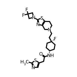 Cc1ncc(CC(=O)N[C@H]2CC[C@](F)(CCN3CCc4sc(N5CC(F)(F)C5)nc4C3)CC2)s1